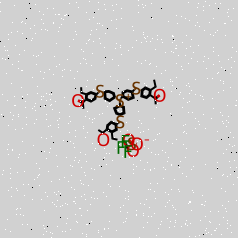 CCc1cc(Sc2ccc([S+](c3ccc(Sc4ccc(C(C)=O)c(CC)c4)cc3)c3ccc(Sc4ccc(C(C)=O)c(CC)c4)cc3)cc2)ccc1C(C)=O.O=S(=O)([O-])C(F)(F)F